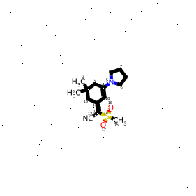 CC1(C)CC(N2CCCC2)=CC(=C(C#N)S(C)(=O)=O)C1